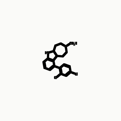 O=C(O)N1CCC2Nc3cccc(-c4ccc(Cl)cc4Cl)c3C2CC1